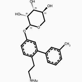 CC(=O)NCCc1ccc(O[C@@H]2OC[C@H](O)[C@@H](O)[C@H]2O)cc1-c1cccc(C)c1